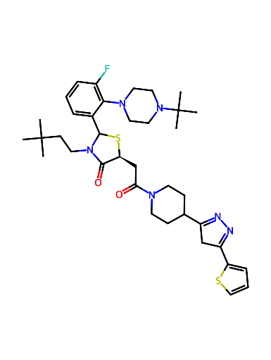 CC(C)(C)CCN1C(=O)[C@H](CC(=O)N2CCC(C3=NN=C(c4cccs4)C3)CC2)SC1c1cccc(F)c1N1CCN(C(C)(C)C)CC1